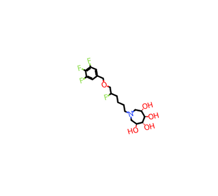 O[C@H]1[C@H](O)[C@@H](O)CN(CCCCC(F)COCc2cc(F)c(F)c(F)c2)C[C@@H]1O